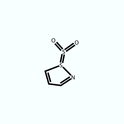 O=S(=O)=S1C=CC=N1